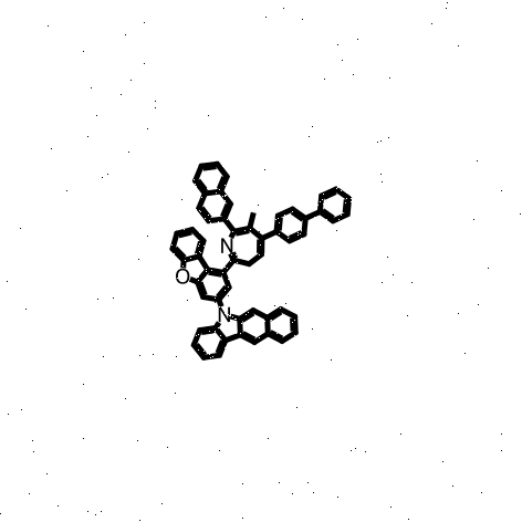 CC1=C(c2ccc3ccccc3c2)N=C(c2cc(-n3c4ccccc4c4cc5ccccc5cc43)cc3oc4ccccc4c23)CC=C1c1ccc(-c2ccccc2)cc1